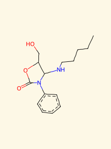 CCCCCNC1C(CO)OC(=O)N1c1ccccc1